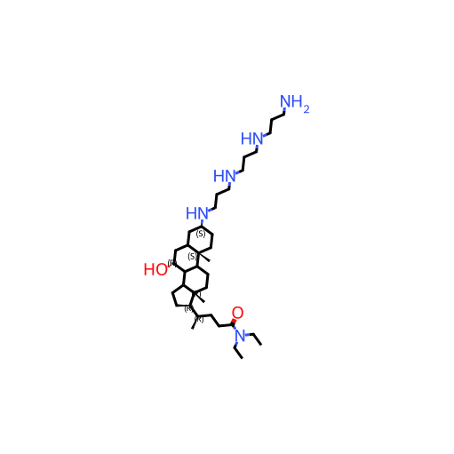 CCN(CC)C(=O)CC[C@@H](C)[C@H]1CCC2C3C(CC[C@@]21C)[C@@]1(C)CC[C@H](NCCCNCCCNCCCN)CC1C[C@H]3O